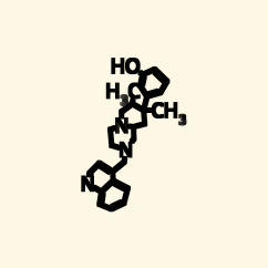 CC1CN2CCN(Cc3ccnc4ccccc34)CC2CC1(C)c1cccc(O)c1